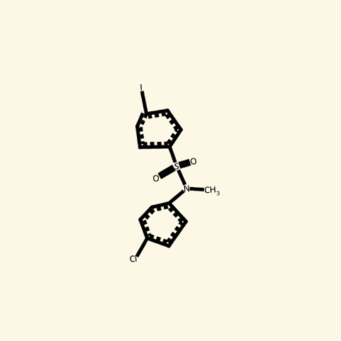 CN(c1ccc(Cl)cc1)S(=O)(=O)c1ccc(I)cc1